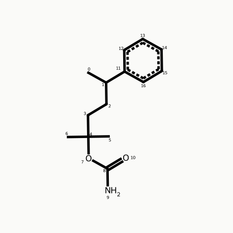 CC(CCC(C)(C)OC(N)=O)c1ccccc1